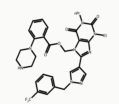 CCCn1c(=O)c2c(nc(-c3cnn(Cc4cccc(C(F)(F)F)c4)c3)n2COC(=O)c2ccccc2N2CCNCC2)n(CC)c1=O